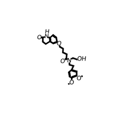 COc1ccc(CCN(CCO)C(=O)CCCCOc2ccc3c(c2)CCC(=O)N3)cc1OC